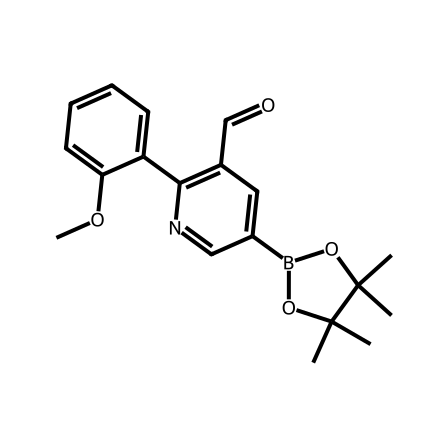 COc1ccccc1-c1ncc(B2OC(C)(C)C(C)(C)O2)cc1C=O